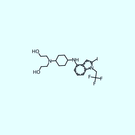 OCCN(CCO)C1CCC(Nc2cccc3c2cc(I)n3CC(F)(F)F)CC1